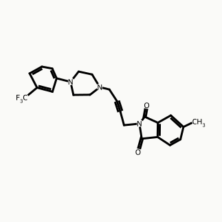 Cc1ccc2c(c1)C(=O)N(CC#CCN1CCN(c3cccc(C(F)(F)F)c3)CC1)C2=O